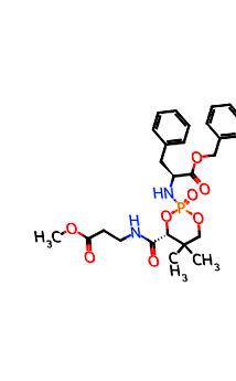 COC(=O)CCNC(=O)[C@@H]1OP(=O)(N[C@@H](Cc2ccccc2)C(=O)OCc2ccccc2)OCC1(C)C